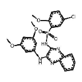 COc1cc(Nc2nc3ccccc3nc2NS(=O)(=O)c2cc(Cl)ccc2OC)cc(OC)c1